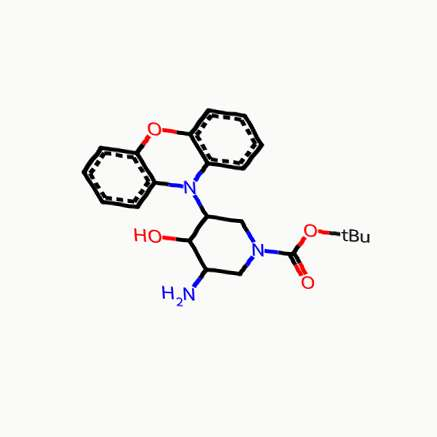 CC(C)(C)OC(=O)N1CC(N)C(O)C(N2c3ccccc3Oc3ccccc32)C1